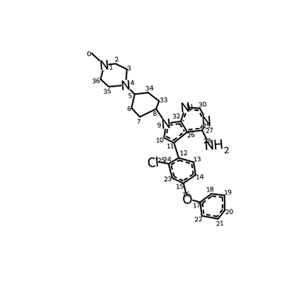 CN1CCN(C2CCC(n3cc(-c4ccc(Oc5ccccc5)cc4Cl)c4c(N)ncnc43)CC2)CC1